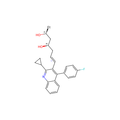 CC[C@H](O)C[C@H](O)C/C=C/c1c(C2CC2)nc2ccccc2c1-c1ccc(F)cc1